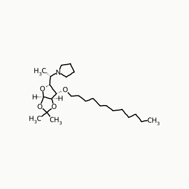 CCCCCCCCCCCCO[C@@H]1[C@H]2OC(C)(C)O[C@H]2O[C@@H]1[C@H](C)N1CCCC1